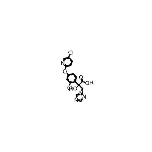 O=C(O)C(O)(Cn1cncn1)c1ccc(Oc2ccc(Cl)cn2)cc1Cl